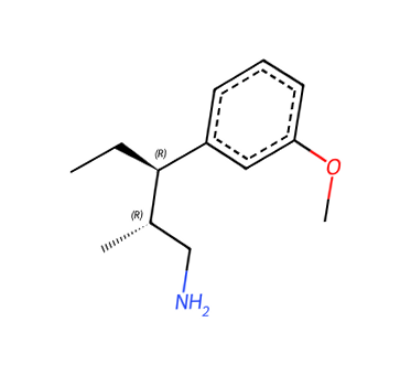 CC[C@@H](c1cccc(OC)c1)[C@@H](C)CN